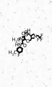 Cc1cc(NC(=O)c2c3c(cn2C)S(=O)(=O)NC2CN(CC(F)(F)F)CC2CO3)ccc1F